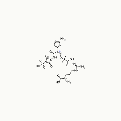 C[C@H]1[C@H](NC(=O)/C(=N\OC(C)(C)C(=O)O)c2csc(N)n2)C(=O)N1S(=O)(=O)O.N=C(N)NCCC[C@H](N)C(=O)O